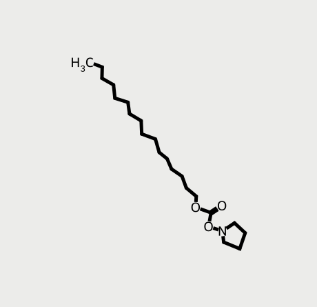 CCCCCCCCCCCCCCCCOC(=O)ON1CCCC1